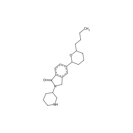 CCCCC1CCCC(c2ccc3c(c2)CN(C2CCCNC2)C3=O)O1